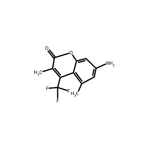 Cc1c(C(F)(F)F)c2c(C)cc(N)cc2oc1=O